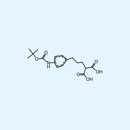 CC(C)(C)OC(=O)Nc1ccc(CCCC(C(=O)O)C(=O)O)cc1